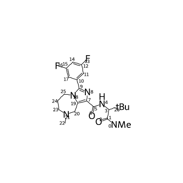 CNC(=O)C(NC(=O)c1nc(-c2cc(F)cc(F)c2)n2c1CN(C)CCC2)C(C)(C)C